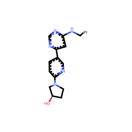 CC(C)CNc1cc(-c2ccc(N3CC[C@@H](O)C3)nc2)ncn1